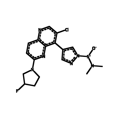 CN(C)[S+]([O-])n1cc(-c2c(Cl)cnc3ccc(N4CCC(F)C4)nc23)cn1